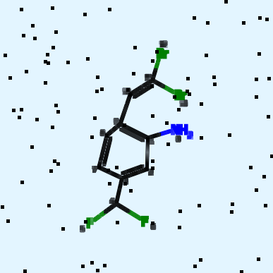 Nc1cc(C(F)F)ccc1C=C(Br)Br